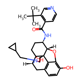 CC(C)(C)c1cnccc1C(=O)N[C@@H]1CC[C@@]2(O)[C@H]3Cc4ccc(O)c5c4[C@@]2(CCN3CC2CC2)[C@H]1O5